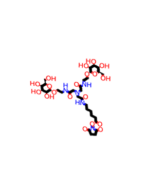 O=C(CN(CC(=O)NCCO[C@H]1O[C@H](CO)[C@@H](O)[C@H](O)[C@@H]1O)CC(=O)NCCO[C@H]1O[C@H](CO)[C@@H](O)[C@H](O)[C@@H]1O)NCCCCCC(=O)ON1C(=O)CCC1=O